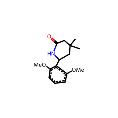 COc1cccc(OC)c1C1CC(C)(C)CC(=O)N1